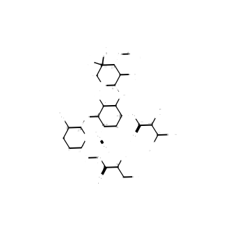 CN[C@@H]1C(O)[C@@H](OC2C(O)C(O[C@H]3O[C@H](CNC(=N)C(O)CO)CCC3N)[C@@H](N=N)C[C@H]2NC(=N)C(O)C(F)F)OCC1(C)O